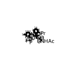 CC(=O)NS(=O)(=O)N1CC(C(=O)Nc2ccc(C)nc2OC(F)F)(c2ccccc2C(C)C)C1